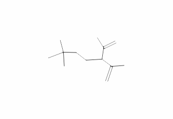 CC(=O)C(CCC(C)(C)C)C(=O)O